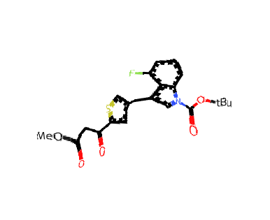 COC(=O)CC(=O)c1cc(-c2cn(C(=O)OC(C)(C)C)c3cccc(F)c23)cs1